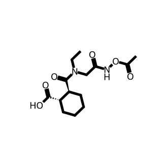 CCN(CC(=O)NOC(C)=O)C(=O)[C@H]1CCCC[C@@H]1C(=O)O